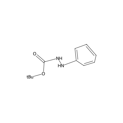 CC(C)(C)OC(=O)NNc1ccccc1